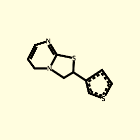 C1=CN=C2SC(c3ccsc3)CN2C1